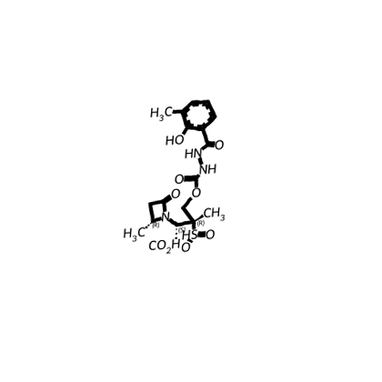 Cc1cccc(C(=O)NNC(=O)OC[C@@](C)([C@H](C(=O)O)N2C(=O)C[C@H]2C)[SH](=O)=O)c1O